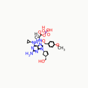 COc1ccc(CON[C@@H](C)C(=O)OP(=O)(O)O)cc1.Nc1nc(NC2CC2)c2ncn([C@H]3C=C[C@@H](CO)C3)c2n1